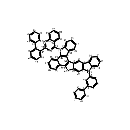 c1ccc(-c2cccc(-n3c4ccccc4c4cc5c(cc43)sc3c4ccccc4c4c(c6ccccc6n4-c4nc(-c6ccccc6-c6ccccc6)nc6ccccc46)c53)c2)cc1